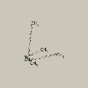 CCCCCCCCCCCCCCC(CCCCCC)c1nccn1C(C)CCCCCCCCCCCC